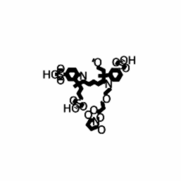 COCCC1(C)/C(=C\C=C\C2=Nc3ccc(S(=O)(=O)O)cc3C2(C)CCCS(=O)(=O)O)N(CCOCCC(=O)ON2C(=O)CCC2=O)c2ccc(S(=O)(=O)O)cc21